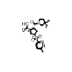 Cc1ccc(S(=O)(=O)[C@H]2C[C@@H](C(=O)O)[C@H](C(=O)N3CCC(F)(F)C3)C2)nn1